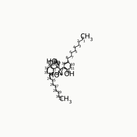 CCCCCCCCCc1ccc(O)c(C(=NO)C(=NO)c2cc(CCCCCCCC)ccc2O)c1